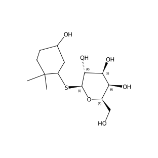 CC1(C)CCC(O)CC1S[C@@H]1O[C@H](CO)[C@H](O)[C@H](O)[C@H]1O